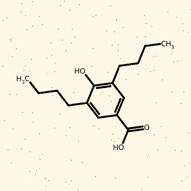 CCCCc1cc(C(=O)O)cc(CCCC)c1O